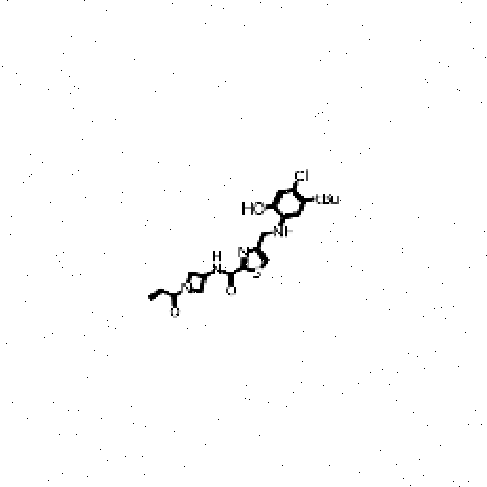 C=CC(=O)N1CC(NC(=O)c2nc(CNc3cc(C(C)(C)C)c(Cl)cc3O)cs2)C1